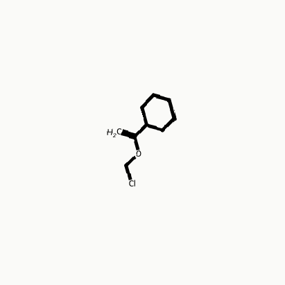 C=C(OCCl)C1CCCCC1